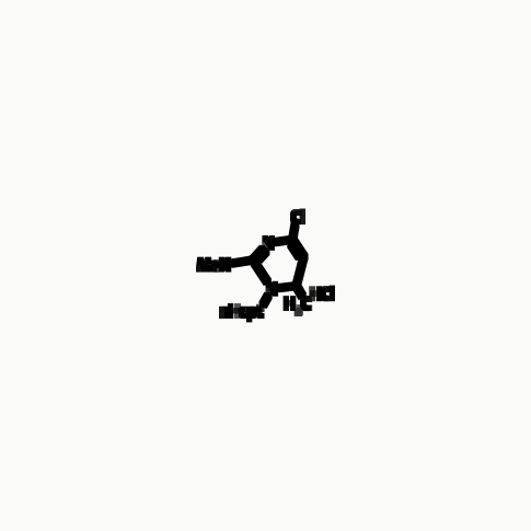 CCCCCCCN1C(NC)=NC(Cl)=CC1C.Cl